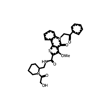 COc1c(C(=O)NCC2CCCCN2C(=O)CO)sc2c1c(=O)n(CC(=O)c1ccccc1)c1ccccc21